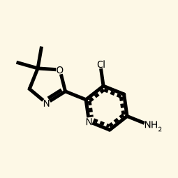 CC1(C)CN=C(c2ncc(N)cc2Cl)O1